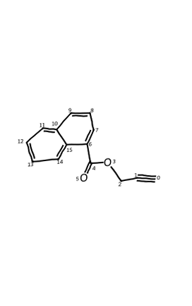 C#CCOC(=O)c1cccc2ccccc12